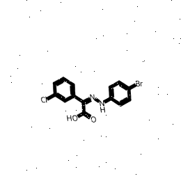 O=C(O)C(=NNc1ccc(Br)cc1)c1cccc(Cl)c1